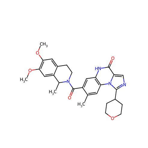 COc1cc2c(cc1OC)C(C)N(C(=O)c1cc3[nH]c(=O)c4cnc(C5CCOCC5)n4c3cc1C)CC2